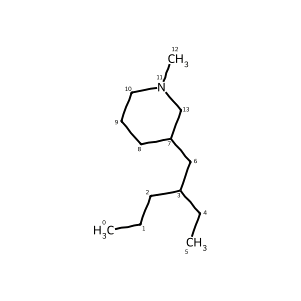 CCCC(CC)CC1CCCN(C)C1